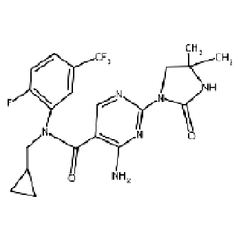 CC1(C)CN(c2ncc(C(=O)N(CC3CC3)c3cc(C(F)(F)F)ccc3F)c(N)n2)C(=O)N1